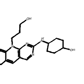 Cc1cc2cnc(NC3CCC(O)CC3)nc2n(CCCO)c1=O